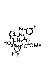 COC(=O)OC1=C(CN2CC(F)(F)C[C@H]2C(=O)O)NC(c2nccs2)=N[C@@H]1c1ccc(F)cc1Br